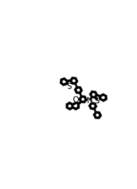 c1ccc(-c2ccc(N(c3cc(-c4ccc(-c5cccc6c5sc5ccccc56)cc4)c4oc5c6ccccc6ccc5c4c3)c3cccc4c3sc3ccccc34)cc2)cc1